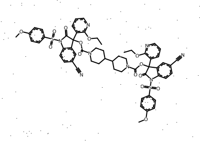 CCOc1ncccc1C1(OC(=O)N2CCC(C3CCN(C(=O)OC4(c5cccnc5OCC)C(=O)N(S(=O)(=O)c5ccc(OC)cc5)c5ccc(C#N)cc54)CC3)CC2)C(=O)N(S(=O)(=O)c2ccc(OC)cc2)c2ccc(C#N)cc21